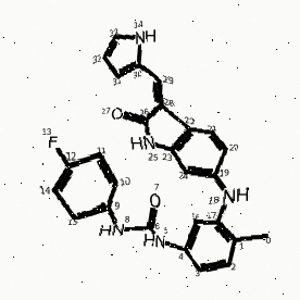 Cc1ccc(NC(=O)Nc2ccc(F)cc2)cc1Nc1ccc2c(c1)NC(=O)C2=Cc1ccc[nH]1